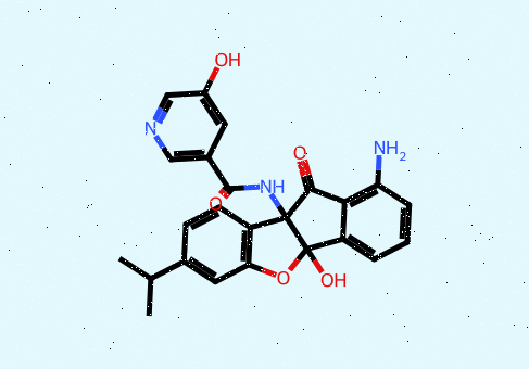 CC(C)c1ccc2c(c1)OC1(O)c3cccc(N)c3C(=O)C21NC(=O)c1cncc(O)c1